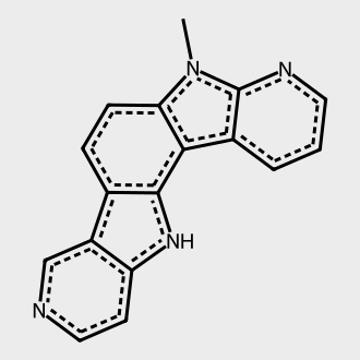 Cn1c2ccc3c4cnccc4[nH]c3c2c2cccnc21